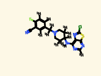 [2H]c1nc(N([2H])C2([2H])C([2H])([2H])CN(C([2H])([2H])c3c([2H])c([2H])c(F)c(C#N)c3[2H])CC2([2H])[2H])c2nc(Cl)sc2n1